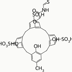 Cc1cc2c(O)c(c1)Cc1cc(S(=O)(=O)O)cc(c1O)Cc1cc(S(=O)(=O)O)cc(c1OCC(=O)NC=S)Cc1cc(S(=O)(=O)O)cc(c1O)C2